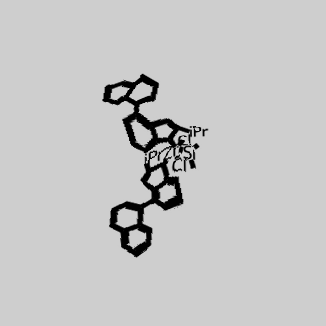 CC(C)C1=Cc2c(-c3cccc4ccccc34)cccc2[CH]1[Zr]([Cl])([Cl])([CH]1C(C(C)C)=Cc2c(-c3cccc4ccccc34)cccc21)=[Si](C)C